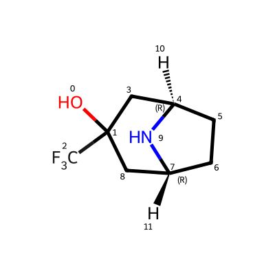 OC1(C(F)(F)F)C[C@H]2CC[C@H](C1)N2